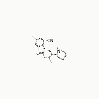 Cc1cc(C#N)c2c(c1)oc1cc(C)c(-c3cccc[n+]3C)cc12